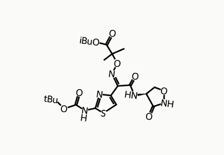 CC(C)COC(=O)C(C)(C)O/N=C(\C(=O)N[C@H]1CONC1=O)c1csc(NC(=O)OC(C)(C)C)n1